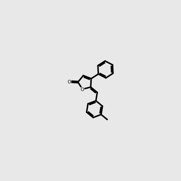 Cc1cccc(/C=C2\OC(=O)C=C2c2ccccc2)c1